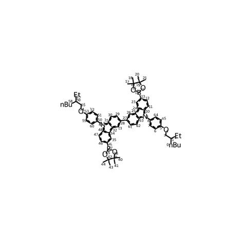 CCCCC(CC)COc1ccc(-n2c3ccc(B4OC(C)(C)C(C)(C)O4)cc3c3cc(-c4ccc5c(c4)c4cc(B6OC(C)(C)C(C)(C)O6)ccc4n5-c4ccc(OCC(CC)CCCC)cc4)ccc32)cc1